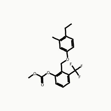 CCc1ccc(OCc2c(OC(=O)OC)cccc2C(F)(F)F)cc1C